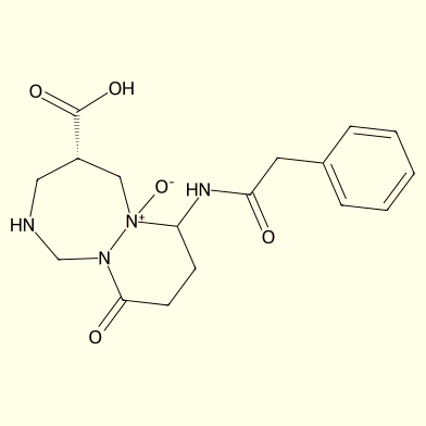 O=C(Cc1ccccc1)NC1CCC(=O)N2CNC[C@H](C(=O)O)C[N+]12[O-]